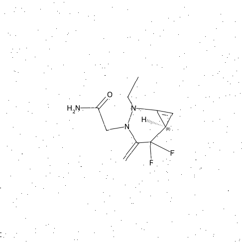 C=C1N(CC(N)=O)N(CC)C2=C[C@H]2C1(F)F